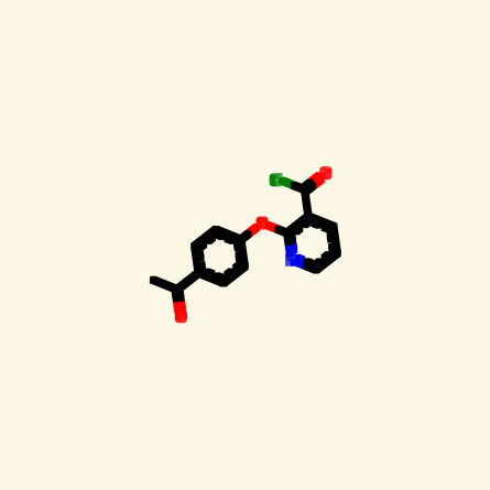 CC(=O)c1ccc(Oc2ncccc2C(=O)Cl)cc1